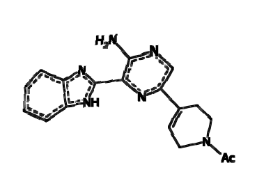 CC(=O)N1CC=C(c2cnc(N)c(-c3nc4ccccc4[nH]3)n2)CC1